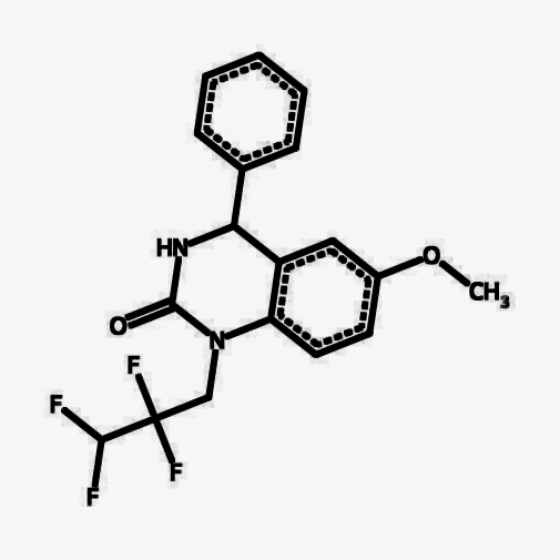 COc1ccc2c(c1)C(c1ccccc1)NC(=O)N2CC(F)(F)C(F)F